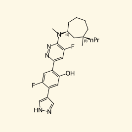 CCC[C@]1(C)CCCC[C@H](N(C)c2nnc(-c3cc(F)c(-c4cn[nH]c4)cc3O)cc2F)C1